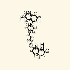 O=C1CCc2ccc(OCCCCN3CCN(c4cccc5ncc(F)cc45)CC3)nc2N1